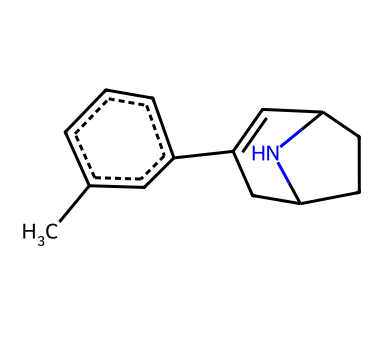 Cc1cccc(C2=CC3CCC(C2)N3)c1